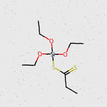 CCO[Si](OCC)(OCC)SC(=S)CC